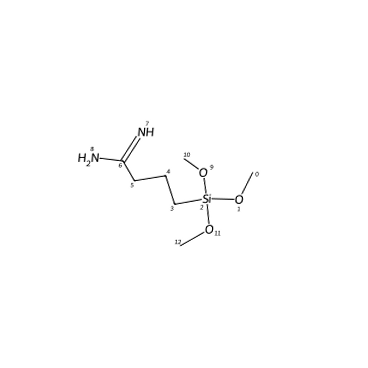 CO[Si](CCCC(=N)N)(OC)OC